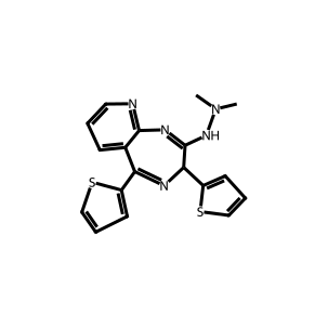 CN(C)NC1=Nc2ncccc2C(c2cccs2)=NC1c1cccs1